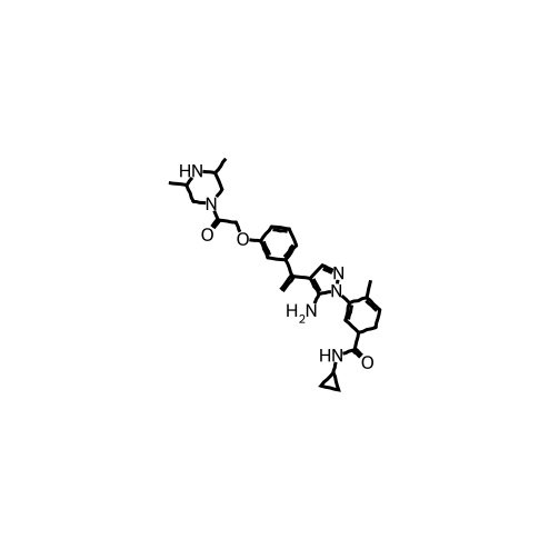 C=C(c1cccc(OCC(=O)N2CC(C)NC(C)C2)c1)c1cnn(C2=CC(C(=O)NC3CC3)CC=C2C)c1N